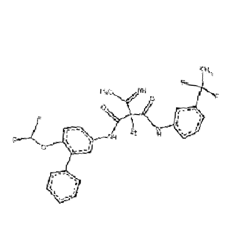 CCC(C(C)=N)(C(=O)Nc1cccc(C(C)(F)F)c1)C(=O)Nc1ccc(OC(F)F)c(-c2ccccc2)c1